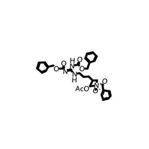 CC(=O)OC1C(CCCNC(=NC(=O)OCc2ccccc2)NC(=O)OCc2ccccc2)C[N+]1([O-])C(=O)c1ccccc1